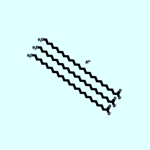 CCCCCCCCCCCCCCCCCCCCCCCCCCCC(=O)[O-].CCCCCCCCCCCCCCCCCCCCCCCCCCCC(=O)[O-].CCCCCCCCCCCCCCCCCCCCCCCCCCCC(=O)[O-].[Al+3]